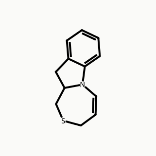 C1=CN2c3ccccc3CC2CSC1